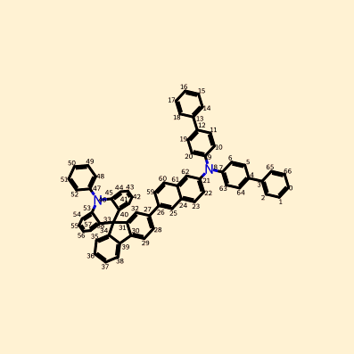 c1ccc(-c2ccc(N(c3ccc(-c4ccccc4)cc3)c3ccc4cc(-c5ccc6c(c5)C5(c7ccccc7-6)c6ccccc6N(c6ccccc6)c6ccccc65)ccc4c3)cc2)cc1